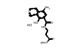 COC(=O)CCNC(=O)c1cc(N)c2ccccc2c1O.Cl